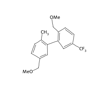 COCc1ccc(C)c(-c2cc(C(F)(F)F)ccc2COC)c1